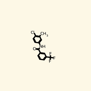 Cc1cc(NC(=O)c2cccc(C(F)(F)F)c2)ccc1Cl